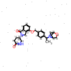 CC(c1ccc(COc2cccc3c2CN([C@H]2CCC(=O)NC2)C3=O)cc1)N1CC2CC1CO2